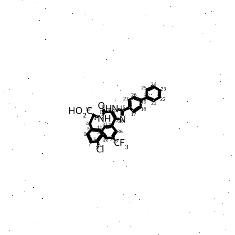 O=C(NC(Cc1ccc(Cl)cc1)C(=O)O)c1[nH]c(-c2ccc(-c3ccccc3)cc2)nc1-c1cccc(C(F)(F)F)c1